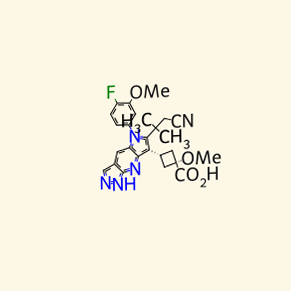 COc1cc(-n2c(C(C)(C)CC#N)c([C@H]3C[C@](OC)(C(=O)O)C3)c3nc4[nH]ncc4cc32)ccc1F